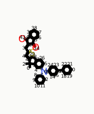 CC1(C)c2cc(N(c3ccccc3)c3ccc(-c4ccccc4)cc3)ccc2-c2sc(C=C3C(=O)c4ccccc4C3=O)cc21